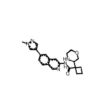 Cn1cc(-c2ccc3cnc(NC(=O)C4(C5COCCN5)CCC4)cc3c2)cn1